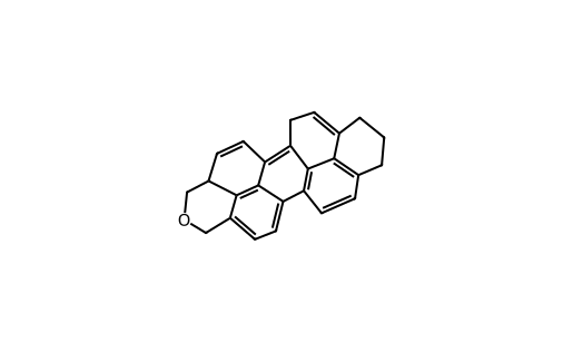 C1=CC2COCc3ccc4c(c1c1c5c6c(ccc54)CCCC6=CC1)c32